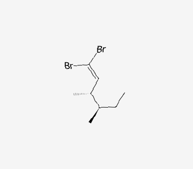 CC[C@@H](C)[C@H](C)C=C(Br)Br